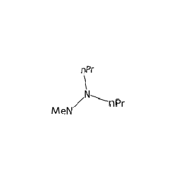 CCCN(CCC)NC